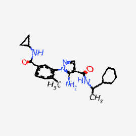 Cc1ccc(C(=O)NC2CC2)cc1-n1ncc(C(=O)NC(C)C2CCCCC2)c1N